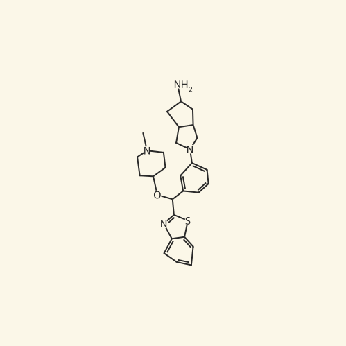 CN1CCC(OC(c2cccc(N3CC4CC(N)CC4C3)c2)c2nc3ccccc3s2)CC1